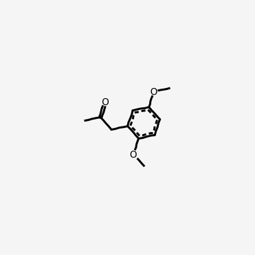 COc1ccc(OC)c(CC(C)=O)c1